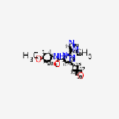 CO[C@H]1CC[C@H](NC(=O)c2cc(C3CC4(COC4)C3)nc(-c3cncn3C)n2)CC1